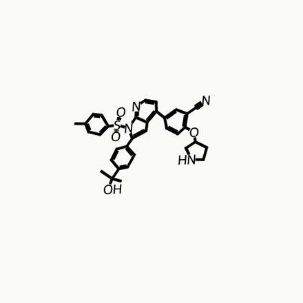 Cc1ccc(S(=O)(=O)n2c(-c3ccc(C(C)(C)O)cc3)cc3c(-c4ccc(OC5CCNC5)c(C#N)c4)ccnc32)cc1